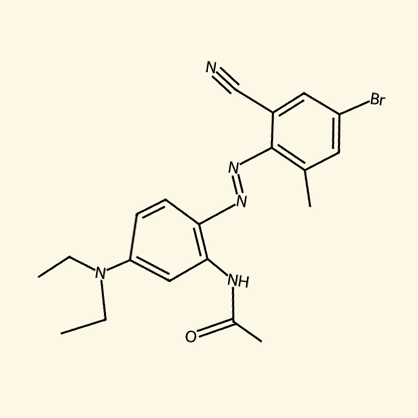 CCN(CC)c1ccc(N=Nc2c(C)cc(Br)cc2C#N)c(NC(C)=O)c1